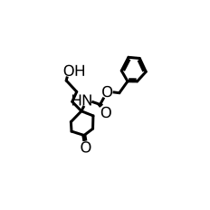 O=C1CCC(CCCO)(NC(=O)OCc2ccccc2)CC1